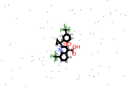 O=C(O)c1c(O)c(C2(c3cccc(C(F)(F)F)c3)CC2)nc2c(C(F)(F)F)cccc12